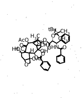 CC(=O)OC1C(=O)C2(C)C(O)CC3OC[C@@]3(OC(C)=O)[C@H]2[C@H](OC(=O)c2ccccc2)C2(O)C[C@H](OC(=O)[C@H](O[Si](C)(C)C(C)(C)C)[C@@H](NC(=O)c3ccccc3)c3ccccc3)C(C)=C1C2(C)C